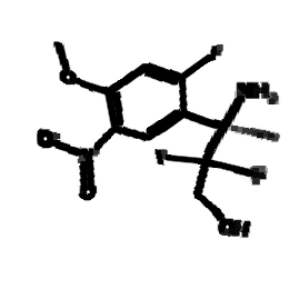 COc1cc(F)c([C@@](C)(N)C(F)(F)CO)cc1[N+](=O)[O-]